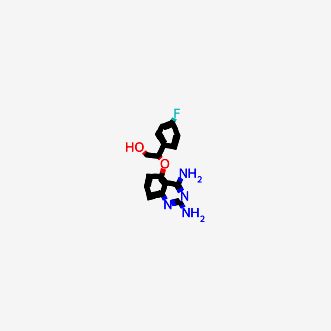 Nc1nc(N)c2c(OC(CO)c3ccc(F)cc3)cccc2n1